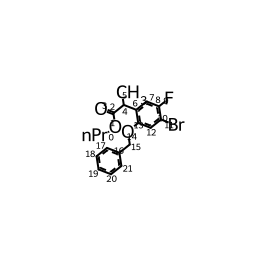 CCCOC(=O)C(C)c1cc(F)c(Br)cc1OCc1ccccc1